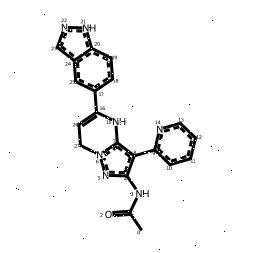 CC(=O)Nc1nn2c(c1-c1ccccn1)NC(c1ccc3[nH]ncc3c1)=CC2